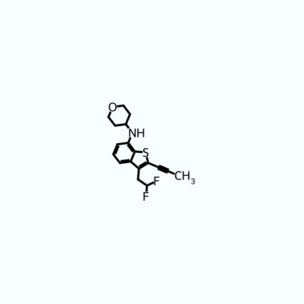 CC#Cc1sc2c(NC3CCOCC3)cccc2c1CC(F)F